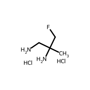 CC(N)(CN)CF.Cl.Cl